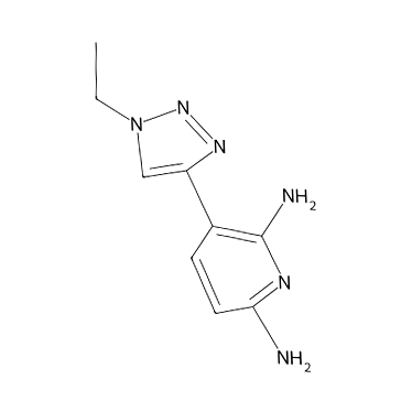 CCn1cc(-c2ccc(N)nc2N)nn1